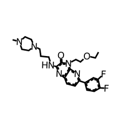 CCOCCn1c(=O)c(NCCCN2CCN(C)CC2)nc2ccc(-c3ccc(F)c(F)c3)nc21